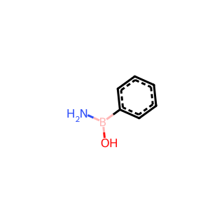 NB(O)c1ccccc1